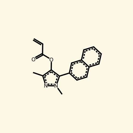 C=CC(=O)Oc1c(C)nn(C)c1-c1ccc2ccccc2c1